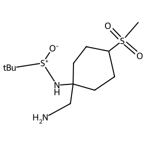 CC(C)(C)[S+]([O-])NC1(CN)CCC(S(C)(=O)=O)CC1